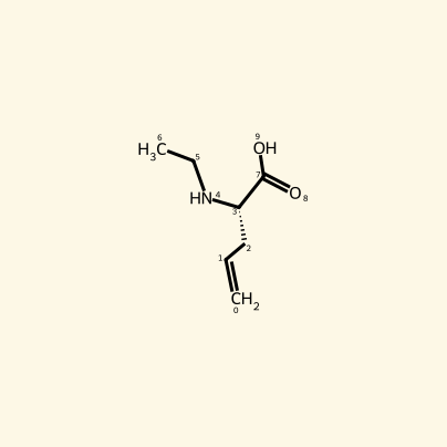 C=CC[C@H](NCC)C(=O)O